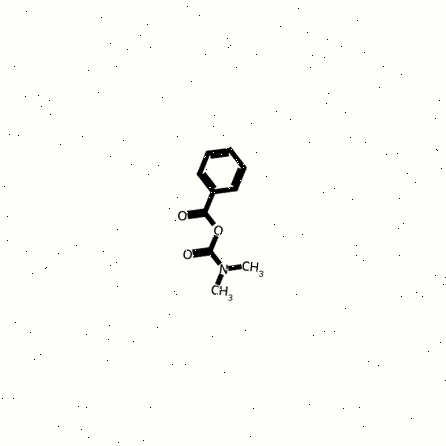 CN(C)C(=O)OC(=O)c1cc[c]cc1